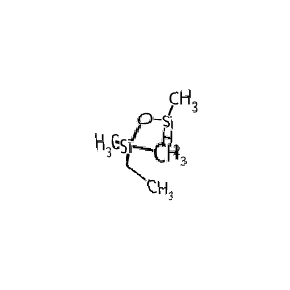 CC[Si](C)(C)O[SiH2]C